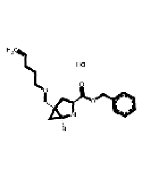 C=CCCCOC[C@]12C[C@@H](C(=O)OCc3ccccc3)N[C@H]1C2.Cl